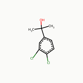 CC(C)(O)c1ccc(Cl)c(Cl)c1